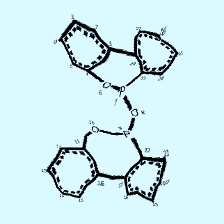 c1ccc2c(c1)OP(OP1Oc3ccccc3-c3ccccc31)c1ccccc1-2